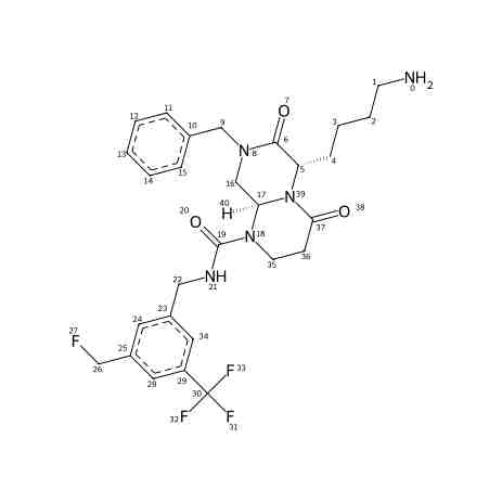 NCCCC[C@H]1C(=O)N(Cc2ccccc2)C[C@@H]2N(C(=O)NCc3cc(CF)cc(C(F)(F)F)c3)CCC(=O)N21